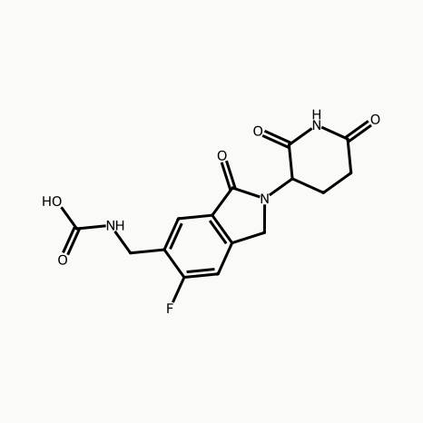 O=C(O)NCc1cc2c(cc1F)CN(C1CCC(=O)NC1=O)C2=O